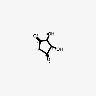 O=C1CC(=O)C(O)C1O